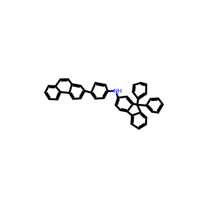 c1ccc(C2(c3ccccc3)c3ccccc3-c3ccc(Nc4ccc(-c5ccc6c(ccc7ccccc76)c5)cc4)cc32)cc1